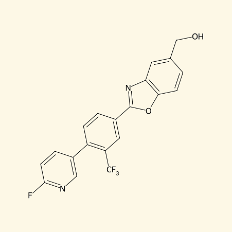 OCc1ccc2oc(-c3ccc(-c4ccc(F)nc4)c(C(F)(F)F)c3)nc2c1